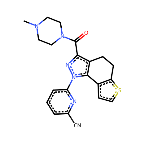 CN1CCN(C(=O)c2nn(-c3cccc(C#N)n3)c3c2CCc2sccc2-3)CC1